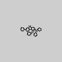 CC1(C)c2cc(-c3ccccc3)ccc2-c2c1ccc1c2P(c2ccccc2)c2ccccc2N1c1ccccc1